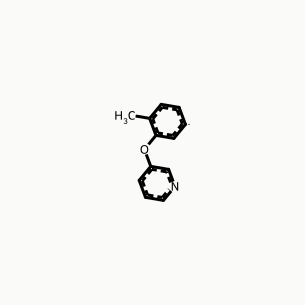 Cc1cc[c]cc1Oc1cccnc1